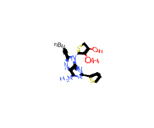 CCCCC#Cc1nc2c(N)nc(-c3cccs3)nc2n1[C@@H]1SC[C@@H](O)[C@H]1O